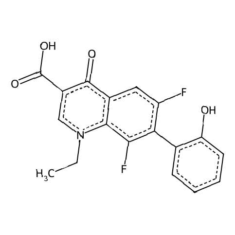 CCn1cc(C(=O)O)c(=O)c2cc(F)c(-c3ccccc3O)c(F)c21